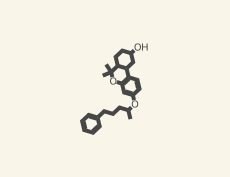 CC(CCCc1ccccc1)Oc1ccc2c(c1)OC(C)(C)C1CCC(O)CC21